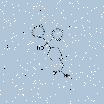 NC(=O)CN1CCC(C(O)(c2ccccc2)c2ccccc2)CC1